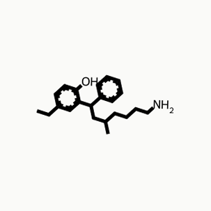 CCc1ccc(O)c(C(CC(C)CCCCN)c2ccccc2)c1